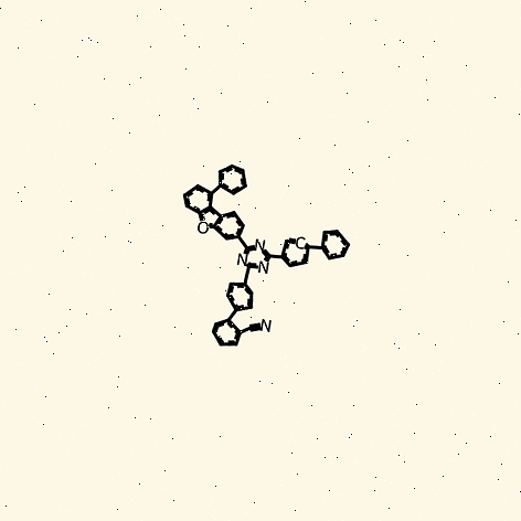 N#Cc1ccccc1-c1ccc(-c2nc(-c3ccc(-c4ccccc4)cc3)nc(-c3ccc4c(c3)oc3cccc(-c5ccccc5)c34)n2)cc1